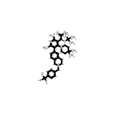 Cc1nc(C)c([C@H](OC(C)(C)C)C(=O)O)c(N2CCC(C)(C)CC2)c1-c1ccc2c(c1)CCN(Cc1ccc(C(F)(F)F)cc1)C2